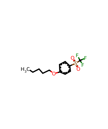 CCCCCOc1ccc(S(=O)(=O)C(F)(F)F)cc1